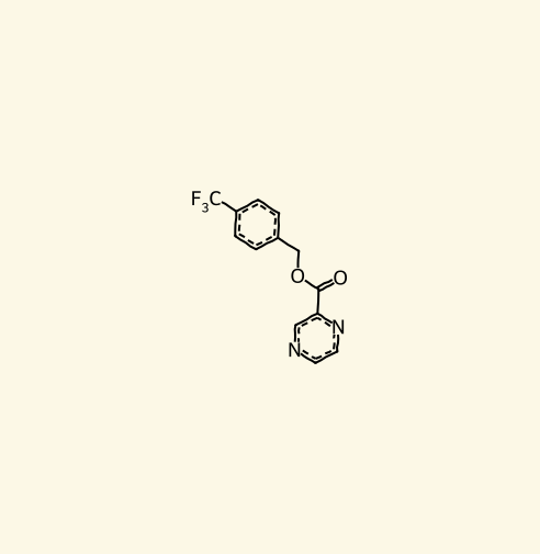 O=C(OCc1ccc(C(F)(F)F)cc1)c1cnccn1